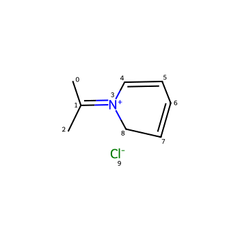 CC(C)=[N+]1C=CC=CC1.[Cl-]